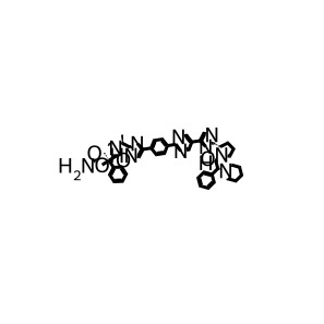 C[C@@H](c1nc(-c2ccc(-c3ncc(-c4cnc([C@@H]5CCCN5C(=O)[C@@H](c5ccccc5)N5CCCCC5)[nH]4)cn3)cc2)c[nH]1)N(C)C(=O)[C@](C)(OC(N)=O)c1ccccc1